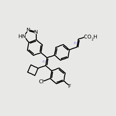 O=C(O)/C=C/c1ccc(/C(=C(\c2ccc(F)cc2Cl)C2CCC2)c2ccc3[nH]nnc3c2)cc1